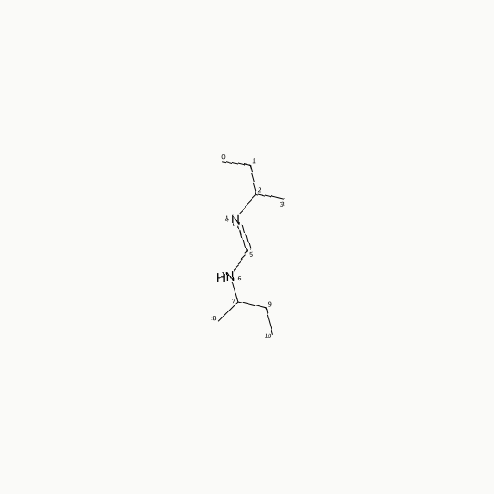 CCC(C)N=CNC(C)CC